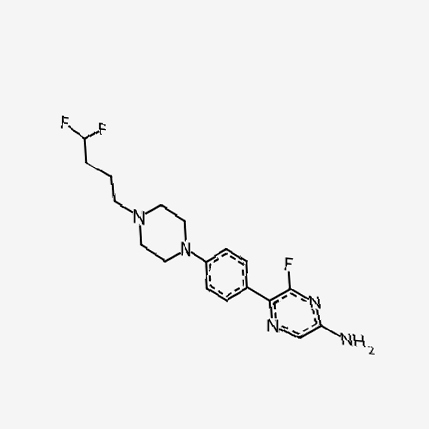 Nc1cnc(-c2ccc(N3CCN(CCCC(F)F)CC3)cc2)c(F)n1